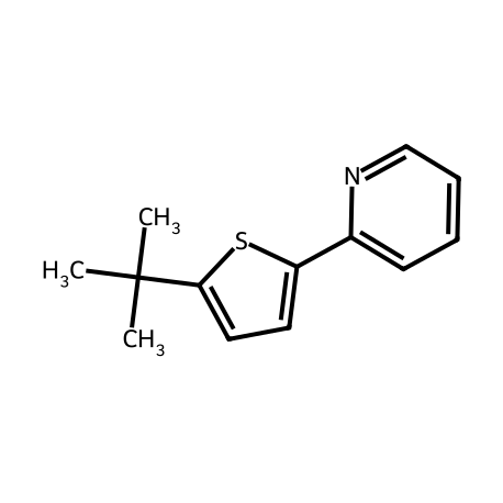 CC(C)(C)c1ccc(-c2ccccn2)s1